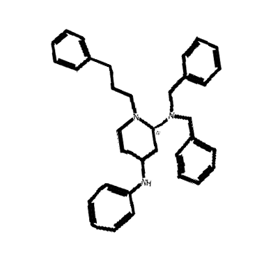 c1ccc(CCCN2CCC(Nc3ccccc3)C[C@@H]2N(Cc2ccccc2)Cc2ccccc2)cc1